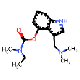 CCN(C)C(=O)Oc1cccc2[nH]cc(CN(C)C)c12